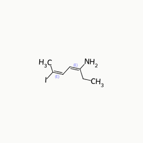 CC/C(N)=C\C=C(/C)I